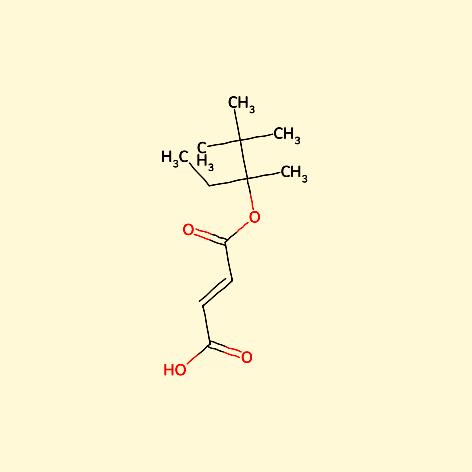 CCC(C)(OC(=O)/C=C/C(=O)O)C(C)(C)C